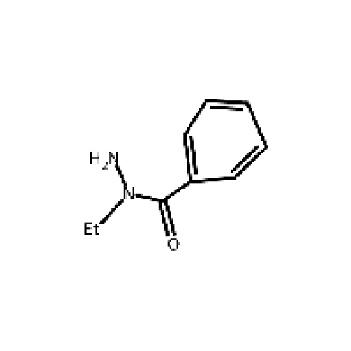 CCN(N)C(=O)c1ccccc1